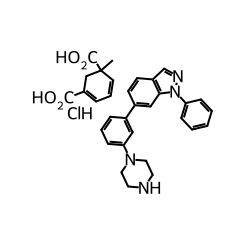 CC1(C(=O)O)C=CC=C(C(=O)O)C1.Cl.c1ccc(-n2ncc3ccc(-c4cccc(N5CCNCC5)c4)cc32)cc1